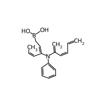 C=C/C=C\C(=C)N(C(/C=C\C)=C/CB(O)O)c1ccccc1